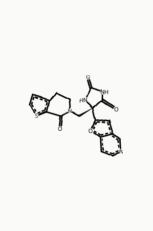 O=C1NC(=O)[C@](CN2CCc3ccsc3C2=O)(c2cc3cnccc3o2)N1